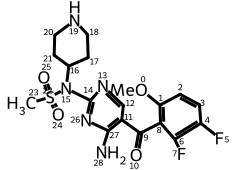 COc1ccc(F)c(F)c1C(=O)c1cnc(N(C2CCNCC2)S(C)(=O)=O)nc1N